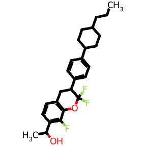 CCCC1CCC(c2ccc(C3Cc4ccc(C(C)O)c(F)c4OC3(F)F)cc2)CC1